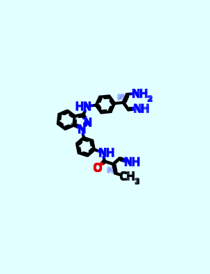 C/C=C(\C=N)C(=O)Nc1cccc(-n2nc(Nc3ccc(/C(C=N)=C/N)cc3)c3ccccc32)c1